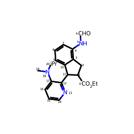 CCOC(=O)C1Cc2c(NC=O)cccc2C1c1ncccc1N(C)C(C)C